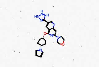 c1ccn([C@H]2CC[C@@H](Oc3nc(N4CCOCC4)cc4ncc(C5=NNNN5)cc34)CC2)c1